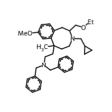 CCOCC1Cc2ccc(OC)cc2C(C)(CCN(Cc2ccccc2)Cc2ccccc2)CCN1CC1CC1